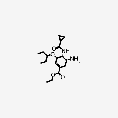 CCOC(=O)C1=C[C@@H](OC(CC)CC)[C@H](NC(=O)C2CC2)[C@@H](N)C1